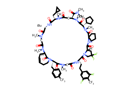 CC[C@H](C)[C@@H]1NC(=O)[C@H](CC2CC2)N(C)C(=O)C[C@@H](C(=O)N(C)C)N(C)C(=O)[C@H](C2CCCC2)N(C)C(=O)C2(CCCC2)NC(=O)[C@@H]2CC(F)(F)CN2C(=O)[C@H](CCc2cc(F)c(C(F)(F)F)c(F)c2)NC(=O)CN(C)C(=O)[C@H](Cc2ccc(C(F)(F)F)cc2)N2CC/C=C\C[C@@H](C2=O)N(C)C(=O)CN(C)C1=O